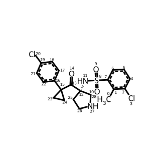 Cc1c(Cl)cccc1S(=O)(=O)N[C@@]1(C(=O)C2(c3ccc(Cl)cc3)CC2)CCNC1